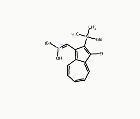 CCc1c2cccccc-2c(/C=[N+](\O)C(C)(C)C)c1[Si](C)(C)C(C)(C)C